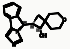 O[C@@H]1[C@H]([C@@H]2c3ccccc3-c3cncn32)CC12CCOCC2